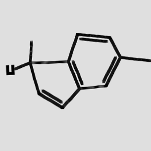 [Li][C]1(C)C=Cc2cc(C)ccc21